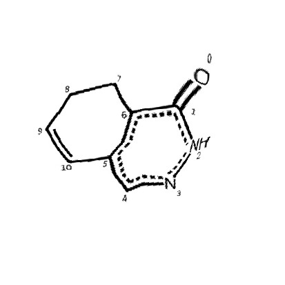 O=c1[nH]ncc2c1CCC=C2